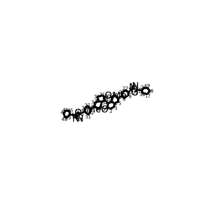 COc1ccc2cc(-c3ccc(-c4nnc(-c5ccccc5)o4)cc3)ccc2c1-c1c(OC)ccc2cc(-c3ccc(-c4nnc(-c5ccccc5)o4)cc3)ccc12